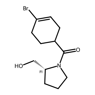 O=C(C1CC=C(Br)CC1)N1CCC[C@@H]1CO